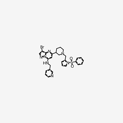 O=S(=O)(c1ccccc1)n1cccc1CN1CCCC(c2cc(NCc3cccnc3)n3ncc(Br)c3n2)C1